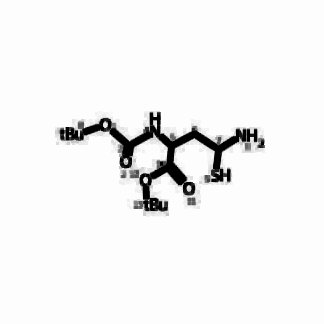 CC(C)(C)OC(=O)NC(CC(N)S)C(=O)OC(C)(C)C